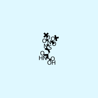 CC(C)(C)OC(=O)N(C(=O)OC(C)(C)C)c1ncc(C[C@H]2C(=O)N[C@@H]2C(=O)O)s1